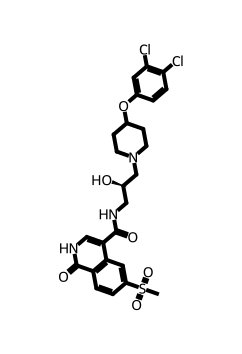 CS(=O)(=O)c1ccc2c(=O)[nH]cc(C(=O)NC[C@@H](O)CN3CCC(Oc4ccc(Cl)c(Cl)c4)CC3)c2c1